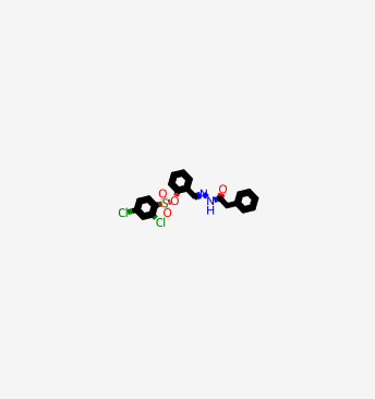 O=C(Cc1ccccc1)NN=Cc1ccccc1OS(=O)(=O)c1ccc(Cl)cc1Cl